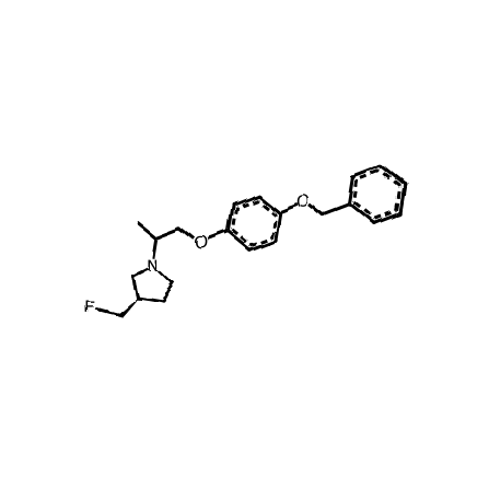 CC(COc1ccc(OCc2ccccc2)cc1)N1CC[C@@H](CF)C1